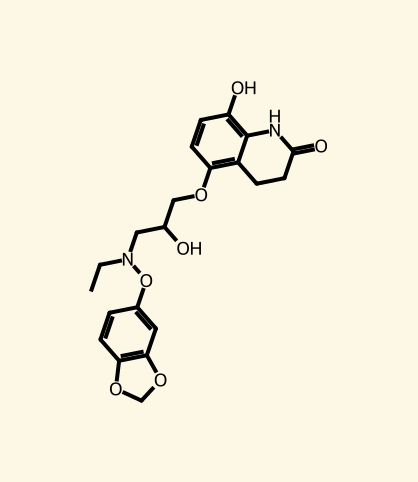 CCN(CC(O)COc1ccc(O)c2c1CCC(=O)N2)Oc1ccc2c(c1)OCO2